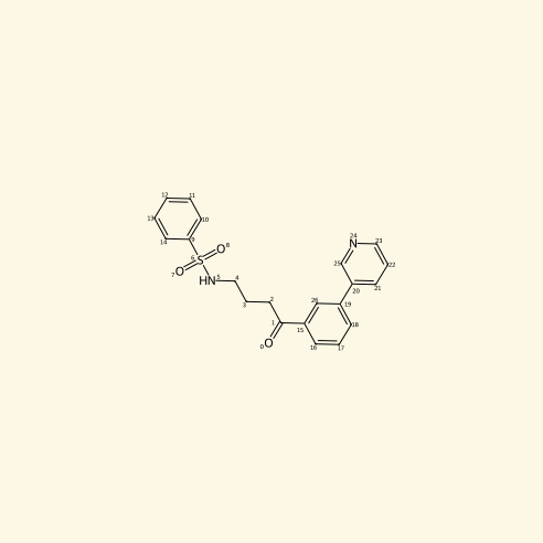 O=C(CCCNS(=O)(=O)c1ccccc1)c1cccc(-c2cccnc2)c1